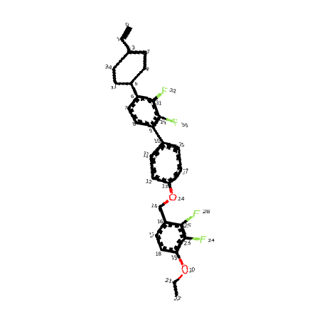 C=CC1CCC(c2ccc(-c3ccc(OCc4ccc(OCC)c(F)c4F)cc3)c(F)c2F)CC1